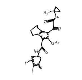 Cc1c(C(=O)C(=O)NC2(C)CC2)c2n(c1C(=O)Nc1cc(F)c(F)c(F)c1)CCC2